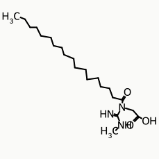 CCCCCCCCCCCCCCCCCC(=O)N(CC(=O)O)C(=N)NC